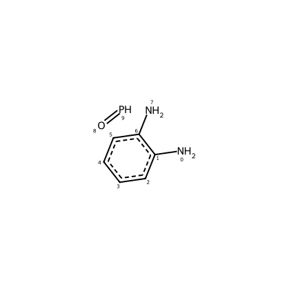 Nc1ccccc1N.O=P